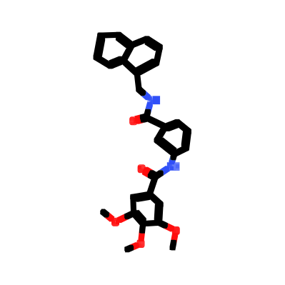 COc1cc(C(=O)Nc2cccc(C(=O)NCc3cccc4ccccc34)c2)cc(OC)c1OC